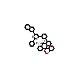 CC1(C)c2ccccc2C2(c3ccccc3Sc3ccccc32)c2cccc(-c3cccc(-c4cc(-c5ccc6ccccc6c5)nc(-c5ccccc5)n4)c3)c21